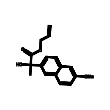 C=CCOC(=O)C(C)(O)c1ccc2cc(OC)ccc2c1